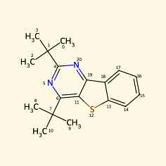 CC(C)(C)c1nc(C(C)(C)C)c2sc3ccccc3c2n1